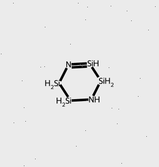 N1=[SiH][SiH2]N[SiH2][SiH2]1